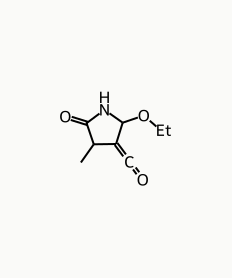 CCOC1NC(=O)C(C)C1=C=O